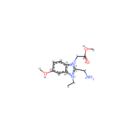 CCn1c(CN)[n+](CC(=O)OC)c2ccc(OC)cc21